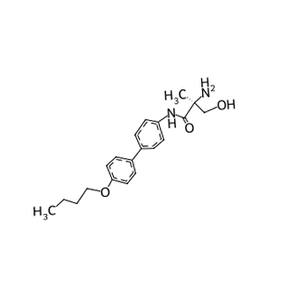 CCCCOc1ccc(-c2ccc(NC(=O)[C@@](C)(N)CO)cc2)cc1